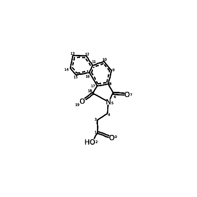 O=C(O)CCN1C(=O)c2ccc3ccccc3c2C1=O